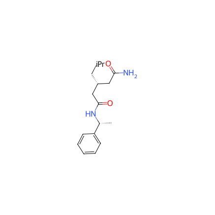 CC(C)C[C@H](CC(N)=O)CC(=O)N[C@H](C)c1ccccc1